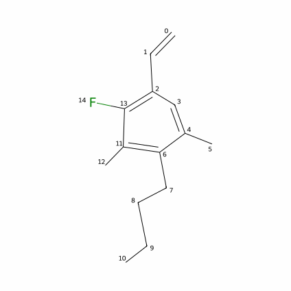 C=Cc1cc(C)c(CCCC)c(C)c1F